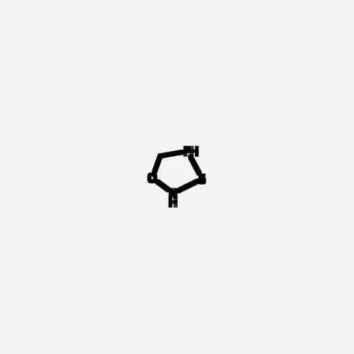 C1ONSP1